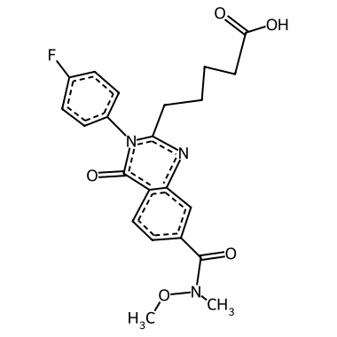 CON(C)C(=O)c1ccc2c(=O)n(-c3ccc(F)cc3)c(CCCCC(=O)O)nc2c1